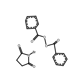 O=C(OOC(=O)c1ccccc1)c1ccccc1.O=C1CCC(=O)N1Br